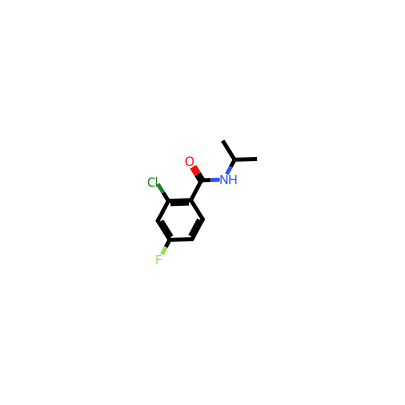 CC(C)NC(=O)c1ccc(F)cc1Cl